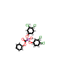 O=C(Oc1ccccc1)P(=O)(Oc1ccc(Cl)c(Cl)c1)Oc1ccc(Cl)c(Cl)c1